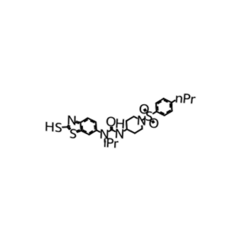 CCCc1ccc(S(=O)(=O)N2CCC(NC(=O)N(c3ccc4nc(S)sc4c3)C(C)C)CC2)cc1